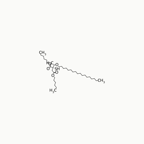 CCCCCCCCCCCCCCCCCCOC(C)[C@@](S)(CC(=O)OCCCCCC)C(=O)OCCCCCC